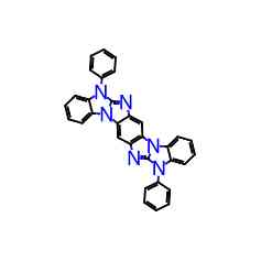 c1ccc(-n2c3ccccc3n3c4cc5nc6n(-c7ccccc7)c7ccccc7n6c5cc4nc23)cc1